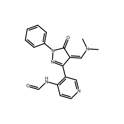 CN(C)C=C1C(=O)N(c2ccccc2)N=C1c1cnccc1NC=O